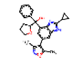 Cc1noc(C)c1-c1cc(C(O)(c2ccccc2)C2CCCO2)c2nc(C3CC3)[nH]c2c1